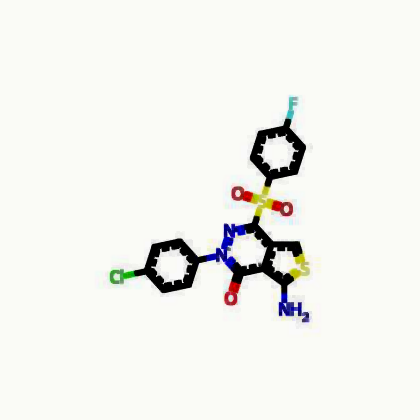 Nc1scc2c(S(=O)(=O)c3ccc(F)cc3)nn(-c3ccc(Cl)cc3)c(=O)c12